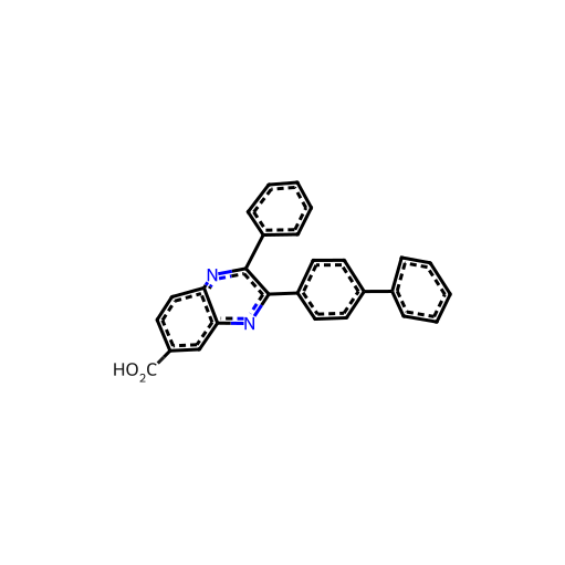 O=C(O)c1ccc2nc(-c3ccccc3)c(-c3ccc(-c4ccccc4)cc3)nc2c1